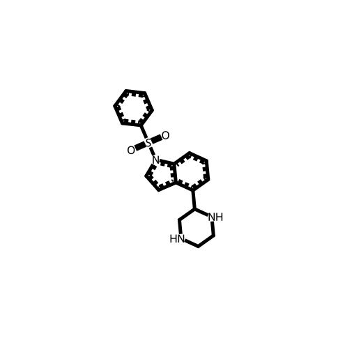 O=S(=O)(c1ccccc1)n1ccc2c(C3CNCCN3)cccc21